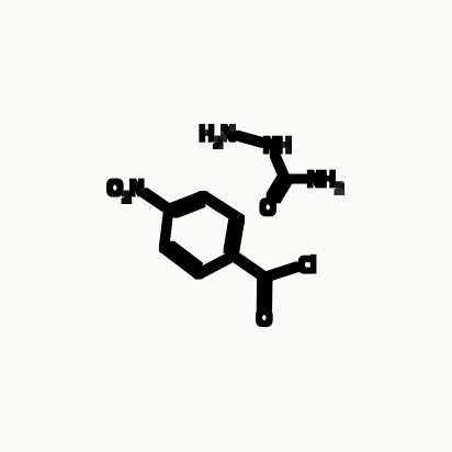 NNC(N)=O.O=C(Cl)c1ccc([N+](=O)[O-])cc1